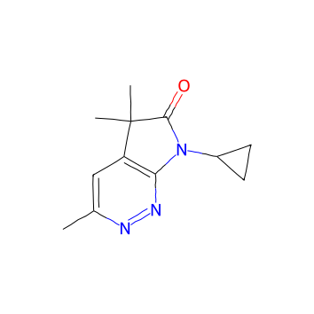 Cc1cc2c(nn1)N(C1CC1)C(=O)C2(C)C